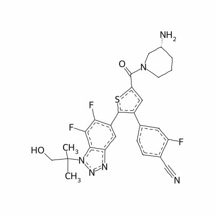 CC(C)(CO)n1nnc2cc(-c3sc(C(=O)N4CCC[C@@H](N)C4)cc3-c3ccc(C#N)c(F)c3)c(F)c(F)c21